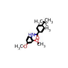 COc1ccc(NC(=O)c2ccc(C(C)(C)C)cc2)c(OC)c1